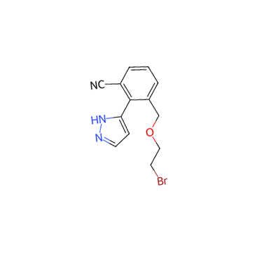 N#Cc1cccc(COCCBr)c1-c1ccn[nH]1